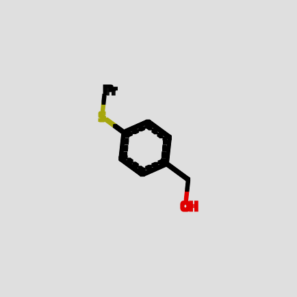 CC(C)Sc1ccc(CO)cc1